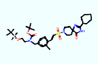 Cc1cc(CN(CCO[Si](C)(C)C(C)(C)C)C(=O)OC(C)(C)C)ccc1/C=C/S(=O)(=O)N1CCC2(CC1)N=C(C1CCCCC1)NC2=O